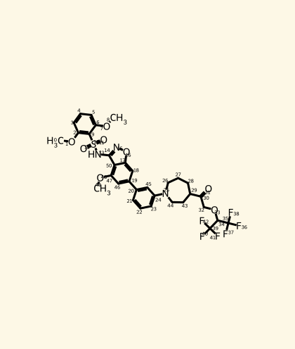 COc1cccc(OC)c1S(=O)(=O)Nc1noc2cc(-c3cccc(N4CCCC(C(=O)COC(C(F)(F)F)C(F)(F)F)CC4)c3)cc(OC)c12